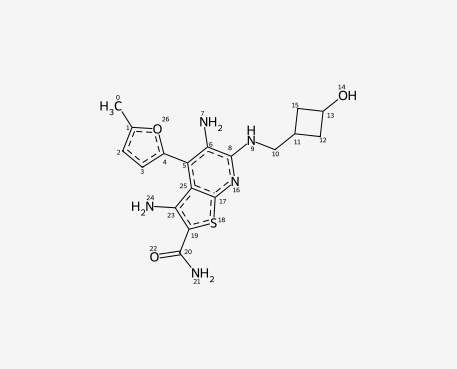 Cc1ccc(-c2c(N)c(NCC3CC(O)C3)nc3sc(C(N)=O)c(N)c23)o1